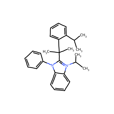 CC(C)c1ccccc1C(C)(C)c1n(-c2ccccc2)c2ccccc2[n+]1C(C)C